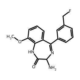 COc1cccc2c1NC(=O)C(N)N=C2c1cccc(CF)c1